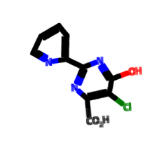 O=C(O)c1nc(-c2ccccn2)nc(O)c1Cl